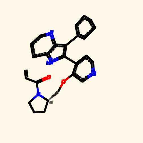 C=CC(=O)N1CCC[C@H]1COc1cnccc1-c1[nH]c2cccnc2c1-c1ccccc1